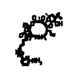 C=CC[C@H]1C[C@@H](C)CN[C@H](C)[C@H]2N(CCCCn3cc(-c4cccc(N)n4)nn3)C(=O)O[C@]2(C)[C@@H](CC)OC(=O)[C@H](C)C(=O)[C@H](C)[C@H]1O[C@@H]1O[C@H](C)CC(N(C)C)C1O